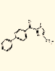 O=C(O)c1c[nH]c(C(=O)c2ccc(-c3ccccc3)cc2)c1